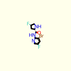 O=C(Nc1ncc(F)cc1Br)[C@@H]1C[C@@H](F)CN1